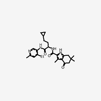 CCc1cc(C)ncc1NC(=O)C(CCC1CC1)NC(=O)c1[nH]c2c(c1C)C(=O)CC(C)(C)C2